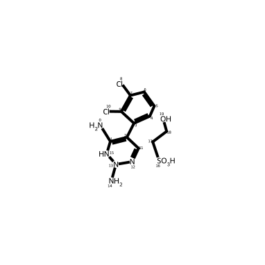 NC1=C(c2cccc(Cl)c2Cl)C=NN(N)N1.O=S(=O)(O)CCO